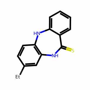 CCc1ccc2c(c1)NC(=S)c1ccccc1N2